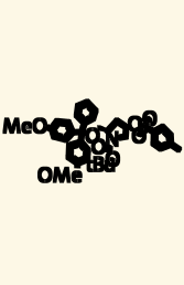 COc1ccc(C(OC[C@H]2C[C@@H](OS(=O)(=O)c3ccc(C)cc3)CN2C(=O)OC(C)(C)C)(c2ccccc2)c2ccc(OC)cc2)cc1